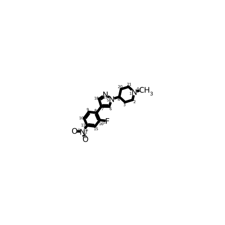 CN1CCC(n2cc(-c3ccc([N+](=O)[O-])cc3F)cn2)CC1